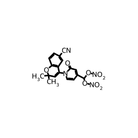 CC1(C)C=C(n2ccc(C(O[N+](=O)[O-])O[N+](=O)[O-])cc2=O)c2cc(C#N)ccc2O1